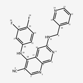 N#Cc1cnc2cnc(NCc3cccnc3)cc2c1Nc1ccc(F)c(F)c1